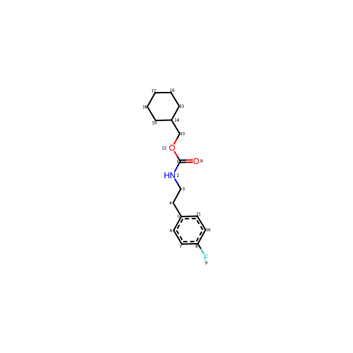 O=C(NCCc1ccc(F)cc1)OCC1CCCCC1